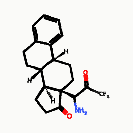 NC(C(=O)C(F)(F)F)[C@]12CC[C@@H]3c4ccccc4CC[C@H]3[C@@H]1CCC2=O